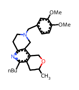 CCCCc1nc2c(c3c1CC(C)OC3)CN(Cc1ccc(OC)c(OC)c1)CC2